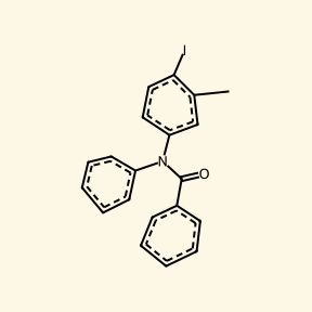 Cc1cc(N(C(=O)c2ccccc2)c2ccccc2)ccc1I